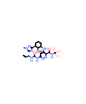 BC(B)(B)NC(=O)c1nnc(NC(=O)NCC=C)cc1Nc1cccc(-c2ncn(C)n2)c1OC